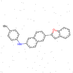 CC(C)(C)c1ccc(Nc2ccc3cc(-c4cc5ccccc5o4)ccc3c2)cc1